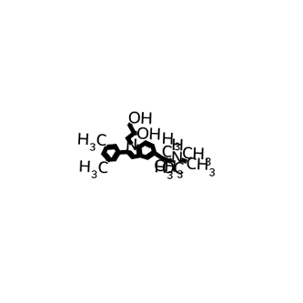 Cc1cc(C)cc(-c2cc3cc(C(C)(C)C(=O)NC(C)(C)C)ccc3n2CC(O)CO)c1